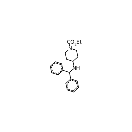 CCOC(=O)N1CCC(NC(c2ccccc2)c2ccccc2)CC1